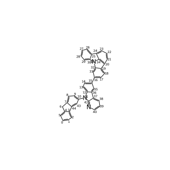 c1ccc2c(c1)Cc1ccc(-n3c4ccc(-c5ccc6c7cccc8c9ccccc9n(c6c5)c87)cc4c4cccnc43)cc1-2